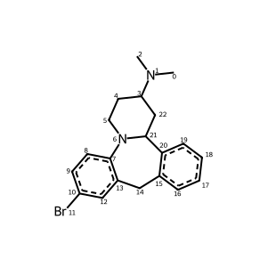 CN(C)C1CCN2c3ccc(Br)cc3Cc3ccccc3C2C1